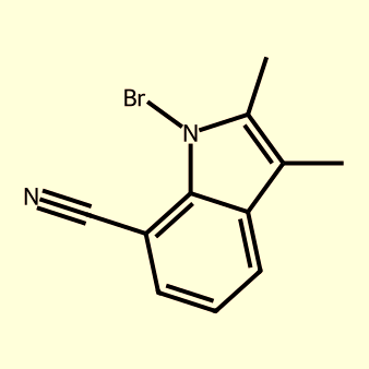 Cc1c(C)n(Br)c2c(C#N)cccc12